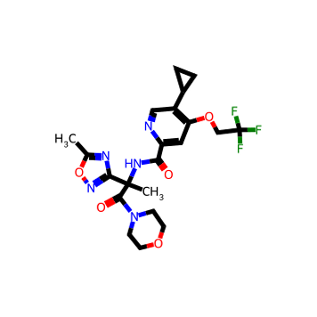 Cc1nc(C(C)(NC(=O)c2cc(OCC(F)(F)F)c(C3CC3)cn2)C(=O)N2CCOCC2)no1